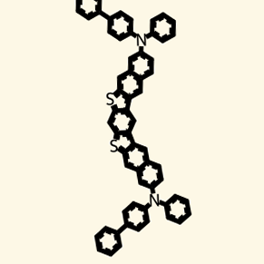 c1ccc(-c2ccc(N(c3ccccc3)c3ccc4cc5c(cc4c3)sc3cc4sc6cc7cc(N(c8ccccc8)c8ccc(-c9ccccc9)cc8)ccc7cc6c4cc35)cc2)cc1